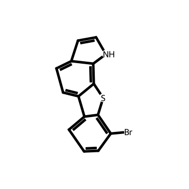 Brc1cccc2c1sc1c2ccc2cc[nH]c21